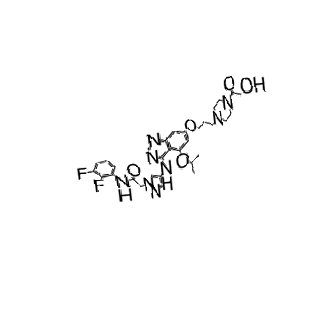 CC(C)Oc1cc(OCCCN2CCN(C(=O)CO)CC2)cc2ncnc(Nc3cnn(CC(=O)Nc4cccc(F)c4F)c3)c12